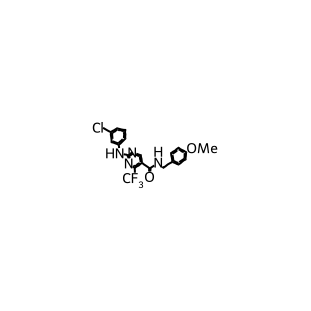 COc1ccc(CNC(=O)c2cnc(Nc3cccc(Cl)c3)nc2C(F)(F)F)cc1